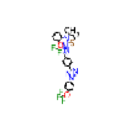 CC1CCS/C(=N\N=C\c2ccc(-c3ncn(-c4ccc(OC(F)(F)F)cc4)n3)cc2)N1c1ccccc1OC(F)F